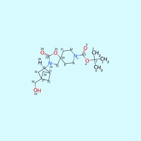 CC(C)(C)OC(=O)N1CCC2(CC1)CN([C@@H]1CC3(CO)CC1C3)C(=O)O2